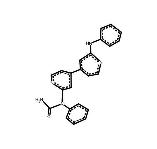 NC(=O)N(c1ccccc1)c1cc(-c2ccnc(Nc3ccccc3)c2)ccn1